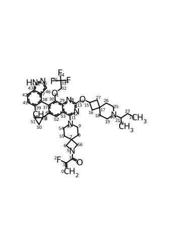 C=C(F)C(=O)N1CC2(CCN(c3nc(OC4CC5(CCN(C(C)CC)CC5)C4)nc4c(OCC(F)(F)F)c(-c5c(C)ccc6[nH]ncc56)c(C5CC5)cc34)CC2)C1